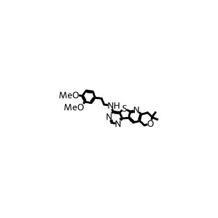 COc1ccc(CCNc2ncnc3c2sc2nc4c(cc23)COC(C)(C)C4)cc1OC